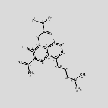 CCN(CC)C(=O)Cn1c(=O)c(C(N)=O)cc2c(NCCN(C)C)ccnc21